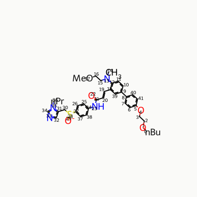 CCCCOCCOc1ccc(-c2ccc(N(C)CCOC)c(C=CC(=O)Nc3ccc([S+]([O-])Cc4cncn4CCC)cc3)c2)cc1